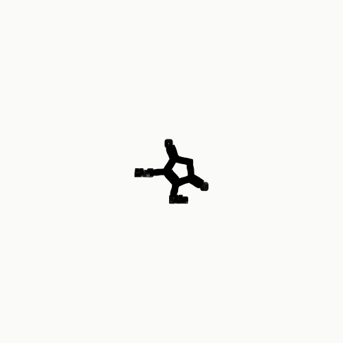 CSC1=C(SC)C(=O)CC1=O